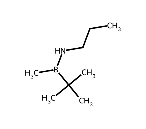 CCCNB(C)C(C)(C)C